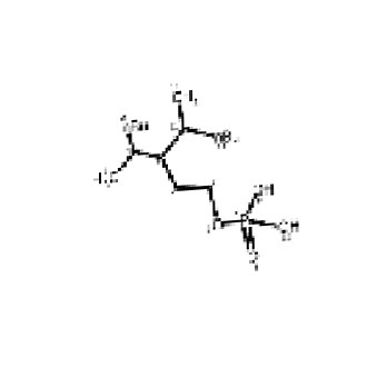 CCCCC(C)C(CCOP(=O)(O)O)C(C)CCCC